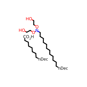 CCCCCCCCCCCCCCCCCC(=O)O.CCCCCCCCCCCCCCCCCCCCCCN(OCCO)OCCO